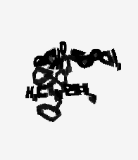 COOSc1cc2c([nH]c1=O)CC1(c3cc(OC)ccc3C)CCN(Cc3ccccc3)C(C)C1(O)C2